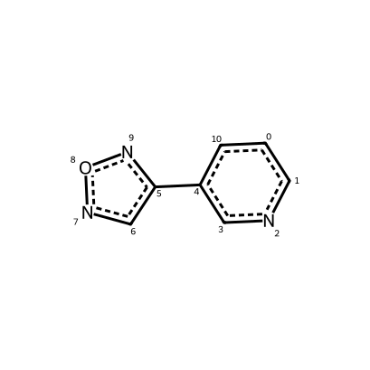 c1cncc(-c2cnon2)c1